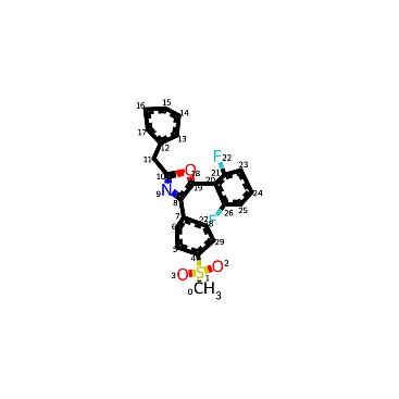 CS(=O)(=O)c1ccc(-c2nc(Cc3ccccc3)oc2-c2c(F)cccc2F)cc1